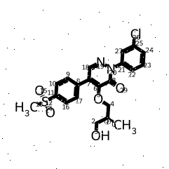 C[C@@H](CO)COc1c(-c2ccc(S(C)(=O)=O)cc2)cnn(-c2cccc(Cl)c2)c1=O